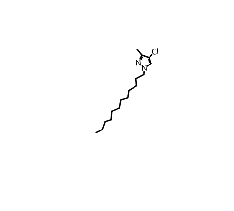 CCCCCCCCCCCCn1cc(Cl)c(C)n1